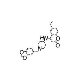 CCc1ccc2oc(=O)cc(NC3CCN(Cc4ccc5c(c4)OCO5)CC3)c2c1